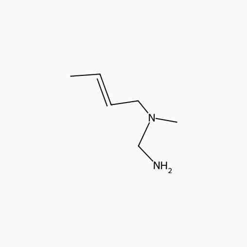 CC=CCN(C)CN